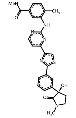 CNC(=O)c1ccc(C)c(Nc2nccc(-c3csc(-c4cccc([C@]5(O)CCN(C)C5=O)c4)n3)n2)c1